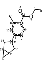 CCOC(=O)c1cnc(N2CC3CC3C2)nc1C